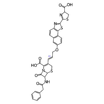 O=C(Cc1ccccc1)NC1C(=O)N2C(C(=O)O)=C(/C=C/COc3ccc4c(ccc5nc(C6=NC(C(=O)O)CS6)sc54)c3)CSC12